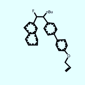 C=CCOc1ccc(-c2ccc(C(CCCC)C(F)c3ccc4ccccc4c3)cc2)cc1